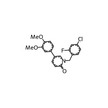 COc1ccc(-c2ccc(=O)n(Cc3ccc(Cl)cc3F)c2)cc1OC